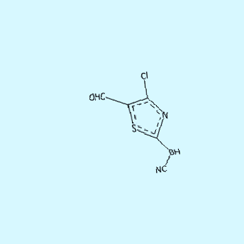 N#CBc1nc(Cl)c(C=O)s1